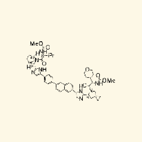 COC(=O)NC(C(=O)N1CC2(CC2)C[C@H]1c1ncc(-c2ccc3cc(-c4ccc(-c5cnc([C@@H]6[C@H]7CC[C@H](C7)N6C(=O)[C@@H](NC(=O)OC)C(C)C)[nH]5)cc4)ccc3c2)[nH]1)C1CCOCC1